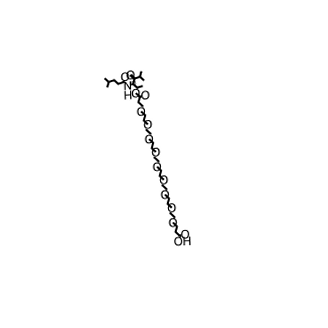 CC(C)CCC(=O)N[C@@H](C(=O)C(C)C)C(C)OC(=O)CCOCCOCCOCCOCCOCCOCCOCCOCCOCCC(=O)O